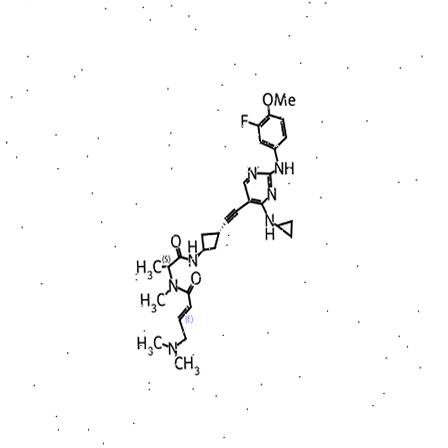 COc1ccc(Nc2ncc(C#C[C@H]3C[C@H](NC(=O)[C@H](C)N(C)C(=O)/C=C/CN(C)C)C3)c(NC3CC3)n2)cc1F